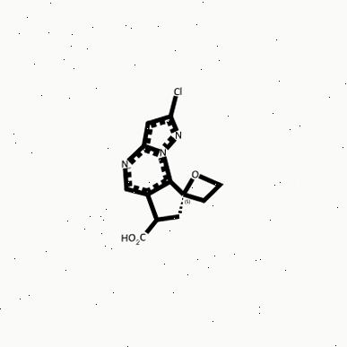 O=C(O)C1C[C@]2(CCO2)c2c1cnc1cc(Cl)nn21